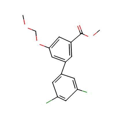 COCOc1cc(C(=O)OC)cc(-c2cc(Cl)cc(Cl)c2)c1